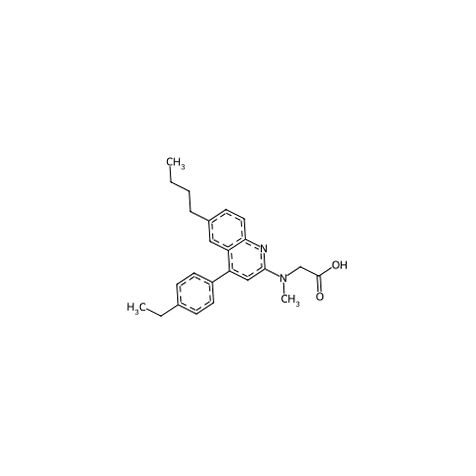 CCCCc1ccc2nc(N(C)CC(=O)O)cc(-c3ccc(CC)cc3)c2c1